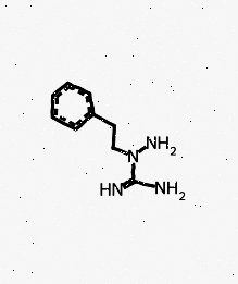 N=C(N)N(N)CCc1ccccc1